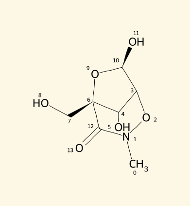 CN1OC2C(O)[C@@](CO)(O[C@H]2O)C1=O